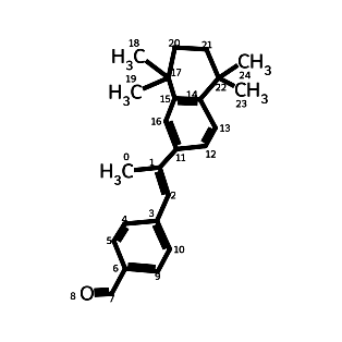 CC(=Cc1ccc(C=O)cc1)c1ccc2c(c1)C(C)(C)CCC2(C)C